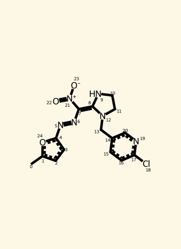 Cc1ccc(/N=N/C(=C2/NCCN2Cc2ccc(Cl)nc2)[N+](=O)[O-])o1